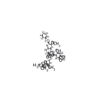 COc1cc2c(cc1OCc1ccccc1)CCN(S(=O)(=O)CCCN(C)C(=O)OC(C)(C)C)C2/C=C/c1cc2c(cc1C)OCO2